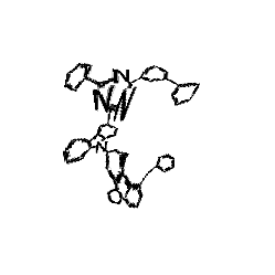 c1ccc(-c2cccc(-c3nc(-c4ccccc4)nc(-c4ccc5c(c4)c4ccccc4n5-c4ccc5c(c4)oc4cccc(-c6ccccc6)c45)n3)c2)cc1